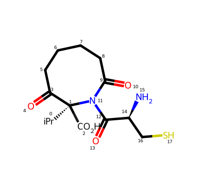 CC(C)[C@]1(C(=O)O)C(=O)CCCCC(=O)N1C(=O)[C@@H](N)CS